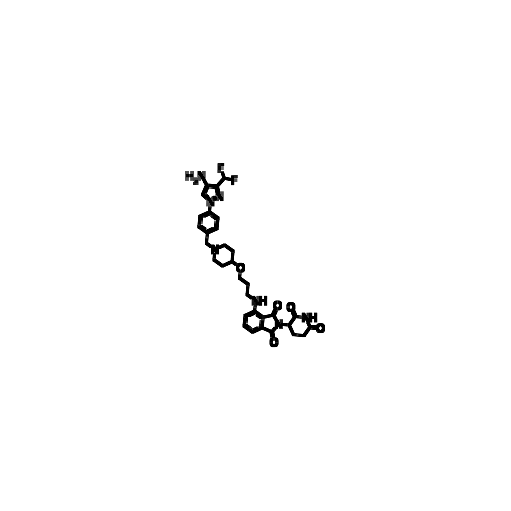 Nc1cn(-c2ccc(CN3CCC(OCCCNc4cccc5c4C(=O)N(C4CCC(=O)NC4=O)C5=O)CC3)cc2)nc1C(F)F